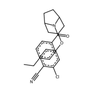 CCc1ccc(C(=O)N2C3CCC2CC(Oc2ccc(C#N)c(Cl)c2)C3)cc1